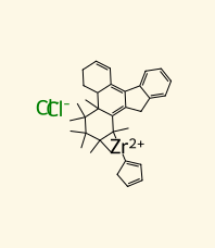 C[C]1([Zr+2][C]2=CC=CC2)C2=C3Cc4ccccc4C3=C3C=CCCC3C2(C)C(C)(C)C(C)(C)C1(C)C.[Cl-].[Cl-]